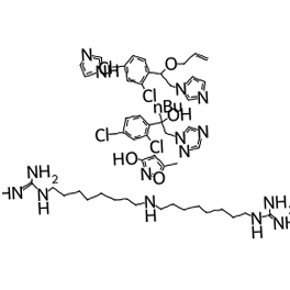 C=CCOC(Cn1ccnc1)c1ccc(Cl)cc1Cl.CCCCC(O)(Cn1cncn1)c1ccc(Cl)cc1Cl.Cc1cc(O)no1.N=C(N)NCCCCCCCCNCCCCCCCCNC(=N)N.c1c[nH]cn1